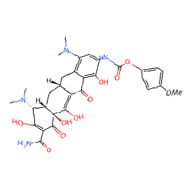 COc1ccc(OC(=O)Nc2cc(N(C)C)c3c(c2O)C(=O)C2=C(O)[C@]4(O)C(=O)C(C(N)=O)=C(O)[C@H](N(C)C)[C@@H]4C[C@@H]2C3)cc1